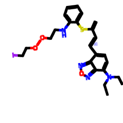 C=C(/C=C/c1ccc(N(CC)CC)c2nonc12)Sc1ccccc1NCCOOCCI